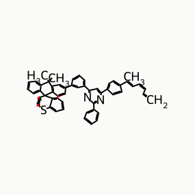 C=C/C=C\C=C(/C)c1ccc(-c2cc(-c3cccc(-c4ccc5c(c4)C(C)(C)c4ccccc4C54c5ccccc5Sc5ccccc54)c3)nc(-c3ccccc3)n2)cc1